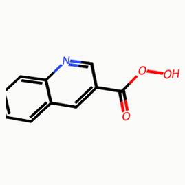 O=C(OO)c1cnc2ccccc2c1